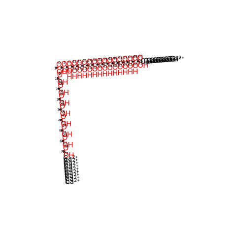 O=CO.O=CO.O=CO.O=CO.O=CO.O=CO.O=CO.O=CO.O=CO.O=CO.O=CO.O=CO.O=CO.O=CO.O=CO.O=CO.O=CO.O=CO.O=CO.O=CO.O=CO.O=CO.O=CO.O=CO.O=CO.[Ca+2].[Ca+2].[Ca+2].[Ca+2].[Ca+2].[Ca+2].[Ca+2].[Ca+2].[Ca+2].[Ca+2].[Ca+2].[Ca+2].[Ca+2].[Ca+2].[Ca+2].[Ca+2].[Ca+2].[Ca+2].[Ca+2].[Ca+2]